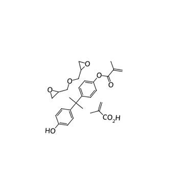 C(OCC1CO1)C1CO1.C=C(C)C(=O)O.C=C(C)C(=O)Oc1ccc(C(C)(C)c2ccc(O)cc2)cc1